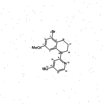 COc1cc(Br)c2c(c1)N(c1cc(C(C)(C)C)ccn1)CCC2